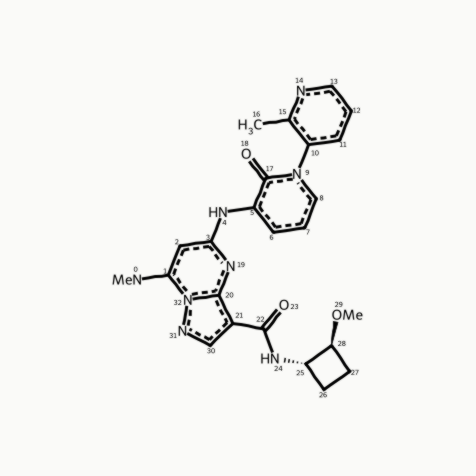 CNc1cc(Nc2cccn(-c3cccnc3C)c2=O)nc2c(C(=O)N[C@H]3CC[C@@H]3OC)cnn12